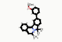 CCCCCCCCCCOc1cccc(-c2ccc3c(c2)C2=c4ccccc4=CC(C)N2C3(CC)CC)c1